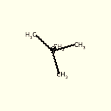 CCCCCCCCCCCCCCC[Si](CCCCCCCCCCCCCCC)(CCCCCCCCCCCCCCC)OCC